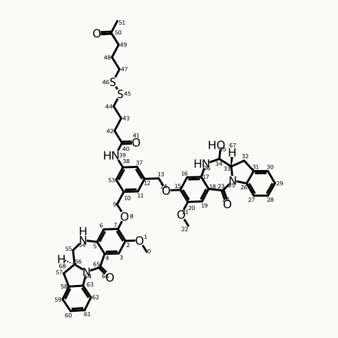 COc1cc2c(cc1OCc1cc(COc3cc4c(cc3OC)C(=O)N3c5ccccc5C[C@H]3C(O)N4)cc(NC(=O)CCCSSCCCC(C)=O)c1)NC[C@@H]1Cc3ccccc3N1C2=O